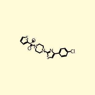 O=S(=O)(c1cccs1)N1CCN(c2nc(-c3ccc(Cl)cc3)cs2)CC1